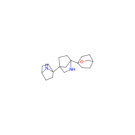 C1CC2(C34CCC(C56CCC(CC5)N6)(CN3)C4)CCC1CO2